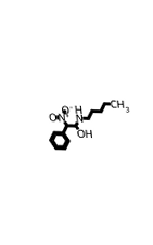 CCCCCNC(O)[C](c1ccccc1)[N+](=O)[O-]